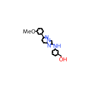 COc1cccc(-c2ccc3nc(Nc4cccc(CO)c4)cn3n2)c1